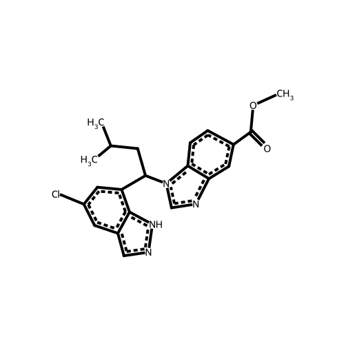 COC(=O)c1ccc2c(c1)ncn2C(CC(C)C)c1cc(Cl)cc2cn[nH]c12